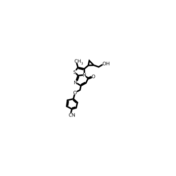 Cc1sc2nc(COc3ccc(C#N)cc3)cc(=O)n2c1C1CC1CO